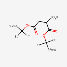 CCCCCC(CC)(CC)OC(=O)CC(C(=O)OC(CC)(CC)CCCCC)S(=O)(=O)O